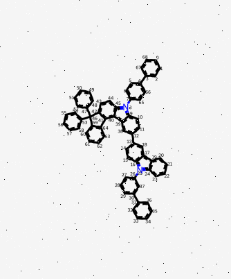 c1ccc(-c2ccc(-n3c4ccc(-c5ccc6c(c5)c5ccccc5n6-c5cccc(-c6ccccc6)c5)cc4c4c5c(ccc43)C(c3ccccc3)(c3ccccc3)c3ccccc3-5)cc2)cc1